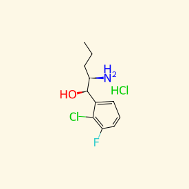 CCC[C@@H](N)[C@H](O)c1cccc(F)c1Cl.Cl